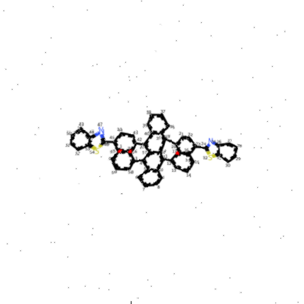 c1ccc(-c2c3ccccc3c(-c3ccccc3)c3c(-c4ccc(-c5nc6ccccc6s5)cc4)c4ccccc4c(-c4ccc(-c5nc6ccccc6s5)cc4)c23)cc1